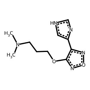 CN(C)CCCOc1nonc1-c1c[nH]cn1